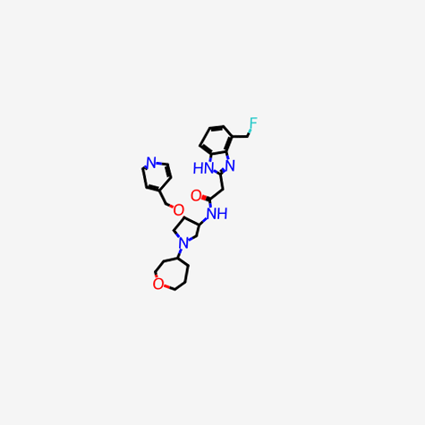 O=C(Cc1nc2c(CF)cccc2[nH]1)NC1CN(C2CCCOCC2)C[C@@H]1OCc1ccncc1